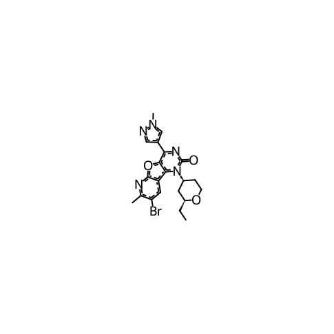 CC[C@H]1C[C@@H](n2c(=O)nc(-c3cnn(C)c3)c3oc4nc(C)c(Br)cc4c32)CCO1